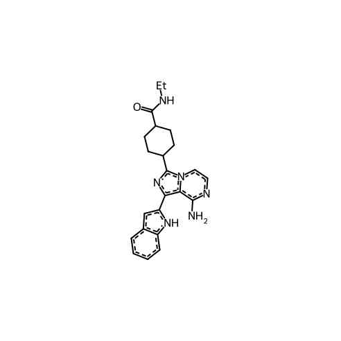 CCNC(=O)C1CCC(c2nc(-c3cc4ccccc4[nH]3)c3c(N)nccn23)CC1